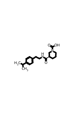 CC(C)c1ccc(CCNC(=O)[C@@H]2CCCN(C(=O)O)C2)cc1